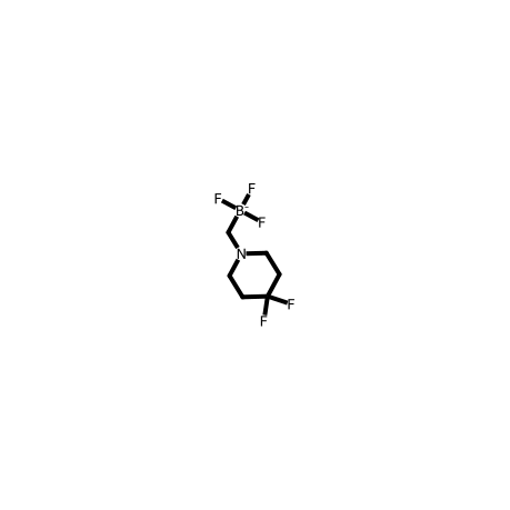 F[B-](F)(F)CN1CCC(F)(F)CC1